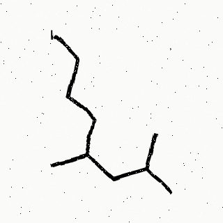 CC(C)CC(C)CCCI